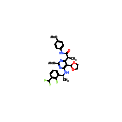 COc1ccc(NC(=O)C(C)c2nc(OC)nc(N[C@H](C)c3cccc(C(F)F)c3F)c2C2OCCO2)cc1